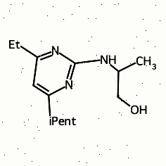 CCCC(C)c1cc(CC)nc(NC(C)CO)n1